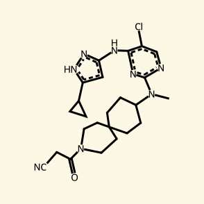 CN(c1ncc(Cl)c(Nc2cc(C3CC3)[nH]n2)n1)C1CCC2(CC1)CCN(C(=O)CC#N)CC2